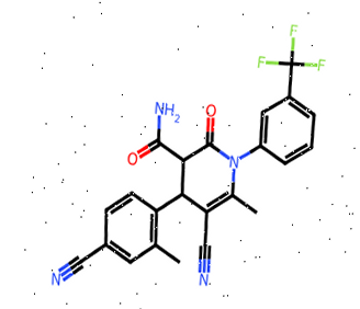 CC1=C(C#N)C(c2ccc(C#N)cc2C)C(C(N)=O)C(=O)N1c1cccc(C(F)(F)F)c1